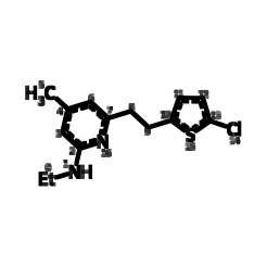 CCNc1cc(C)cc(CCc2ccc(Cl)s2)n1